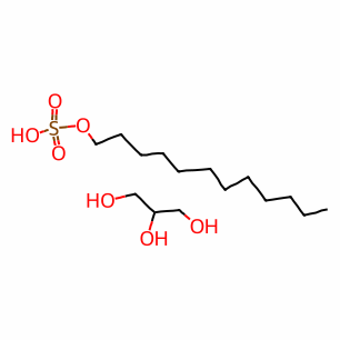 CCCCCCCCCCCCOS(=O)(=O)O.OCC(O)CO